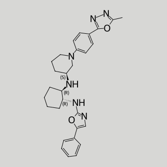 Cc1nnc(-c2ccc(N3CCC[C@H](N[C@@H]4CCCC[C@H]4Nc4ncc(-c5ccccc5)o4)C3)cc2)o1